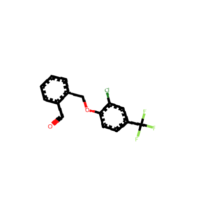 O=Cc1ccccc1COc1ccc(C(F)(F)F)cc1Cl